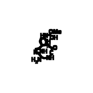 COC(O)Nc1ccc2c(c1)NC(=O)CCNC[C@H](N)c1ncc-2[nH]1